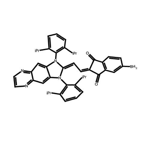 Bc1ccc2c(c1)C(=O)/C(=C/C=C1N(c3c(C(C)C)cccc3C(C)C)c3cc4nccnc4cc3N1c1c(C(C)C)cccc1C(C)C)C2=O